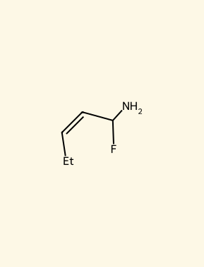 CC/C=C\C(N)F